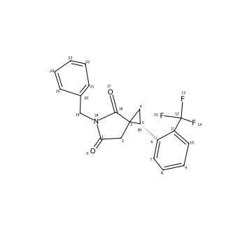 O=C1CC2(C[C@@H]2c2ccccc2C(F)(F)F)C(=O)N1Cc1ccccc1